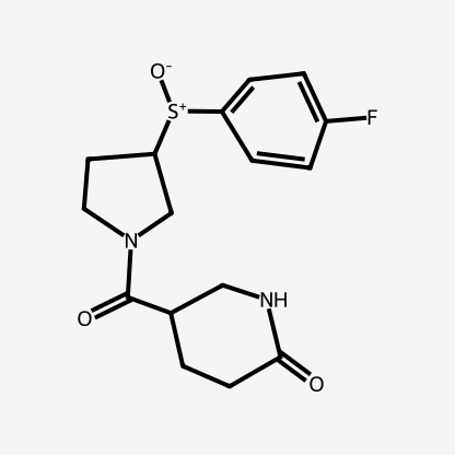 O=C1CCC(C(=O)N2CCC([S+]([O-])c3ccc(F)cc3)C2)CN1